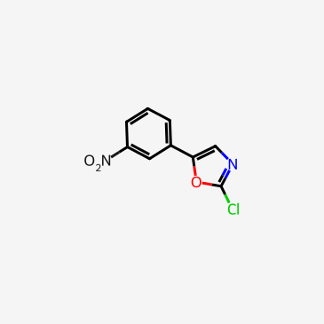 O=[N+]([O-])c1cccc(-c2cnc(Cl)o2)c1